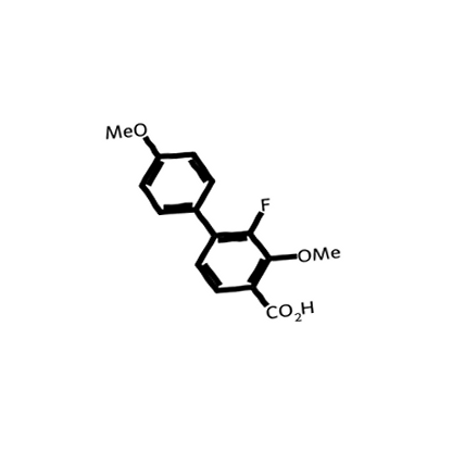 COc1ccc(-c2ccc(C(=O)O)c(OC)c2F)cc1